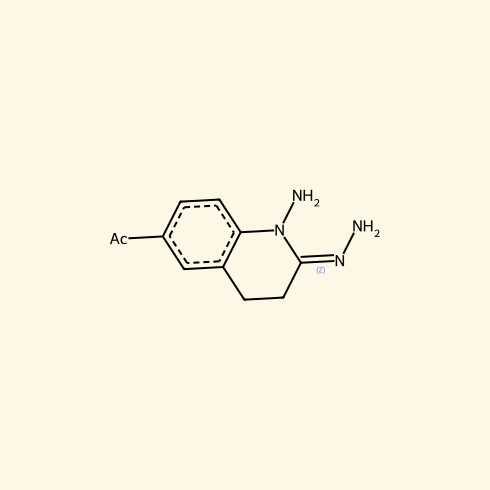 CC(=O)c1ccc2c(c1)CC/C(=N/N)N2N